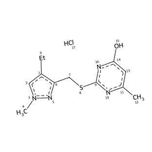 CCc1cn(C)nc1CSc1nc(C)cc(O)n1.Cl